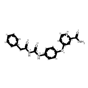 NC(=O)c1cc(Oc2ccc(NC(=O)NC(=O)Cc3ccccc3)cc2)ccn1